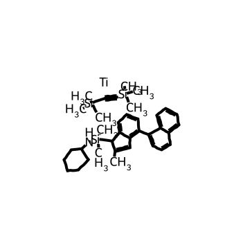 CC1=Cc2c(-c3cccc4ccccc34)cccc2C1[Si](C)(C)NC1CCCCC1.C[Si](C)(C)C#C[Si](C)(C)C.[Ti]